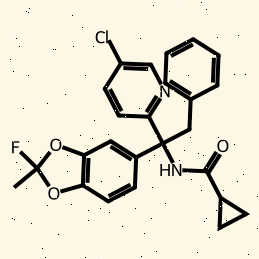 CC1(F)Oc2ccc(C(Cc3ccccc3)(NC(=O)C3CC3)c3ccc(Cl)cn3)cc2O1